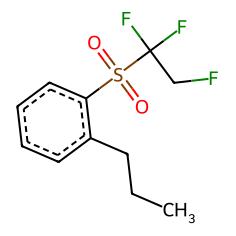 CCCc1ccccc1S(=O)(=O)C(F)(F)CF